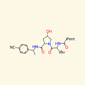 CCCC(C)C(=O)NC(C(=O)N1CC(O)CC1C(=O)NC(C)c1ccc(C#N)cc1)C(C)(C)C